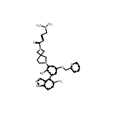 Cc1ccc2[nH]ncc2c1-c1cc(OCc2ccccn2)cc(N2CCC3(CN(C(=O)/C=C/CN(C)C)C3)C2)c1C#N